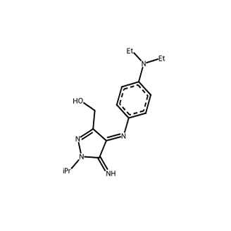 CCN(CC)c1ccc(N=C2C(=N)N(C(C)C)N=C2CO)cc1